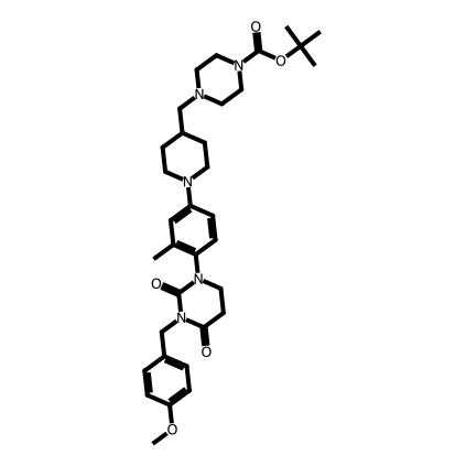 COc1ccc(CN2C(=O)CCN(c3ccc(N4CCC(CN5CCN(C(=O)OC(C)(C)C)CC5)CC4)cc3C)C2=O)cc1